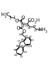 C=CCOC(=O)N(C(=O)OCc1cccc2c1Cc1ccccc1-2)C(CCCN)C(=O)O